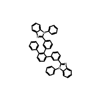 c1ccc(-c2cccc(-c3cccc(-c4nc5ccccc5n4-c4ccccc4)c3)c2-c2cccc(-c3nc4ccccc4n3-c3ccccc3)c2)cc1